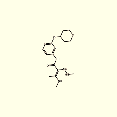 CNN/C(C(=O)Nc1ccnc(OC2CCOCC2)n1)=C(/C)NC